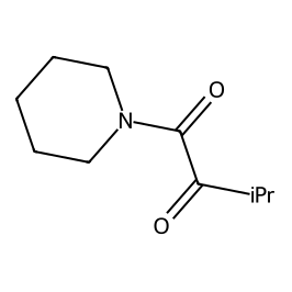 CC(C)C(=O)C(=O)N1CCCCC1